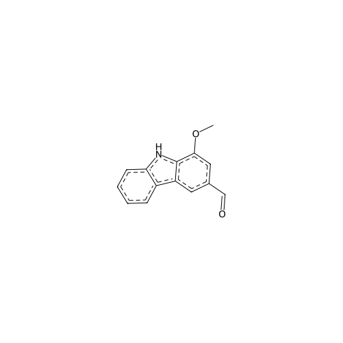 COc1cc(C=O)cc2c1[nH]c1ccccc12